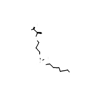 C=C(C)C(=O)OCCCOP(=O)(O)OCCCCCC